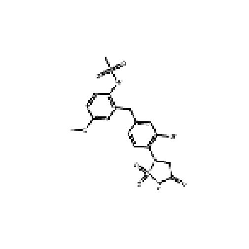 COc1ccc(NS(C)(=O)=O)c(Cc2ccc(N3CC(=O)NS3(=O)=O)c(O)c2)c1